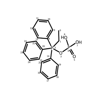 CCP(OP(=O)(O)O)(c1ccccc1)(c1ccccc1)c1ccccc1